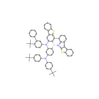 CC(C)(C)c1ccc(N(c2ccc(C(C)(C)C)cc2)c2ccc3c(c2)N(c2ccc(C(C)(C)C)c(-c4ccccc4)c2)c2cc4c(sc5ccccc54)c4c2B3n2c3sc5ccccc5c3c3cccc-4c32)cc1